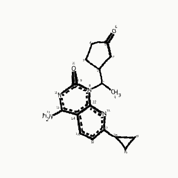 CC(C1CCC(=O)C1)n1c(=O)nc(N)c2ccc(C3CC3)nc21